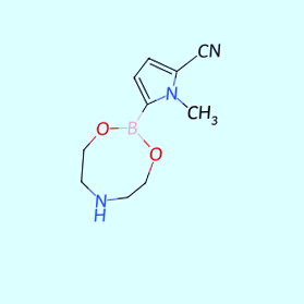 Cn1c(C#N)ccc1B1OCCNCCO1